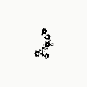 Cc1ccccc1N1CCC(Oc2ccc(NCOC[C@H]3CCCCN3C(=O)Cn3cccn3)cc2Cl)CC1